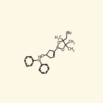 CC(C)(C)CC1(C)OB(C2=CCC(O[SiH](c3ccccc3)c3ccccc3)C2)OC1(C)C